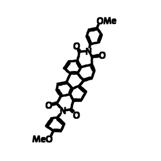 COc1ccc(N2C(=O)c3ccc4c5ccc6c7c(ccc(c8ccc(c3c48)C2=O)c75)C(=O)N(c2ccc(OC)cc2)C6=O)cc1